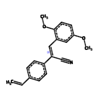 C=Cc1ccc(/C(C#N)=C/c2cc(OC)ccc2OC)cc1